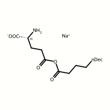 CCCCCCCCCCCCCC(=O)OC(=O)CC[C@@H](N)C(=O)[O-].[Na+]